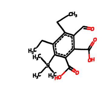 CCc1c(C=O)c(C(=O)O)c(C(=O)O)c([Si](C)(C)C)c1CC